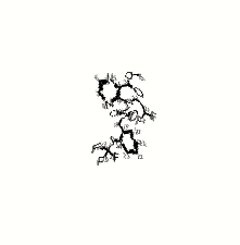 COC(=O)c1nccnc1N(CC(F)F)S(=O)(=O)Cc1ccccc1SC(F)(F)F